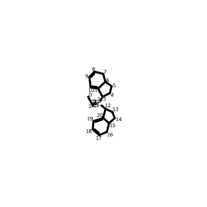 C[CH]=[Zr]([CH]1CCC2CC=CC=C21)[CH]1CCC2CC=CC=C21